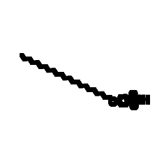 CCCCCCCCCCCCCCCCCCCCCCCOc1ccc(S(=O)(=O)O)cc1